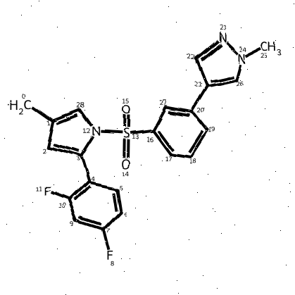 [CH2]c1cc(-c2ccc(F)cc2F)n(S(=O)(=O)c2cccc(-c3cnn(C)c3)c2)c1